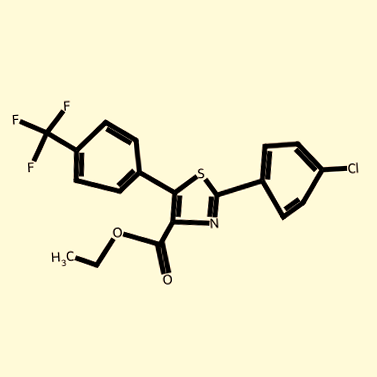 CCOC(=O)c1nc(-c2ccc(Cl)cc2)sc1-c1ccc(C(F)(F)F)cc1